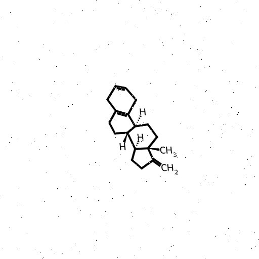 C=C1CC[C@H]2[C@@H]3CCC4=C(CC=[C]C4)[C@H]3CC[C@]12C